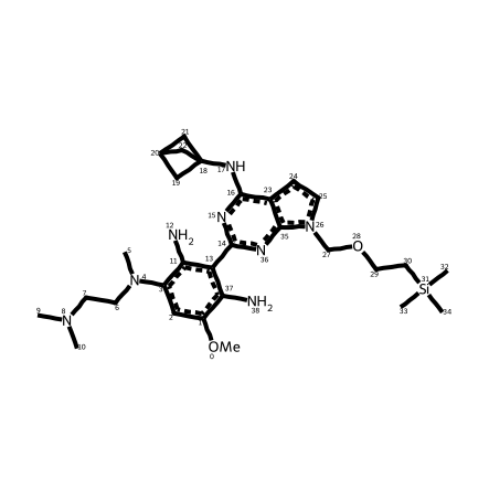 COc1cc(N(C)CCN(C)C)c(N)c(-c2nc(NC34CC(C3)C4)c3ccn(COCC[Si](C)(C)C)c3n2)c1N